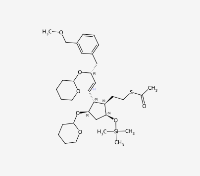 COCc1cccc(C[C@H](/C=C/[C@@H]2[C@@H](CCSC(C)=O)[C@@H](O[Si](C)(C)C)C[C@H]2OC2CCCCO2)OC2CCCCO2)c1